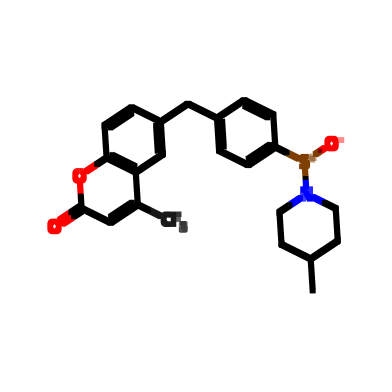 CC1CCN([S+]([O-])c2ccc(Cc3ccc4oc(=O)cc(C(F)(F)F)c4c3)cc2)CC1